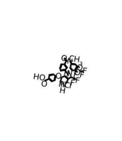 CN(C(=O)c1cccc(-n2nc(C(F)(F)F)c3c2C(Oc2ccc(C(=O)O)cc2)CNC3)c1)c1ccc2c(c1)OC(F)(F)O2.Cl